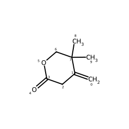 C=C1CC(=O)OCC1(C)C